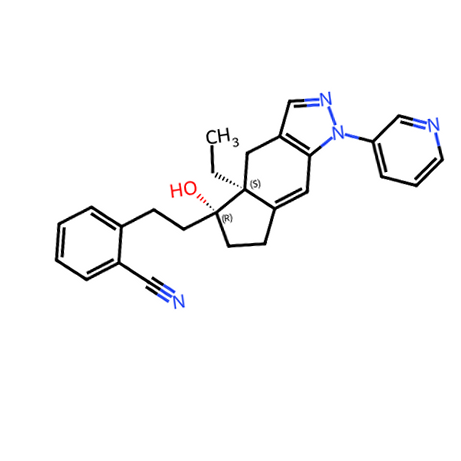 CC[C@]12Cc3cnn(-c4cccnc4)c3C=C1CC[C@@]2(O)CCc1ccccc1C#N